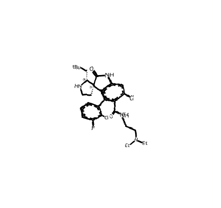 CCN(CC)CCNC(=O)c1c(Cl)cc2c(c1-c1cccc(F)c1Cl)[C@]1(CCN[C@@H]1CC(C)(C)C)C(=O)N2